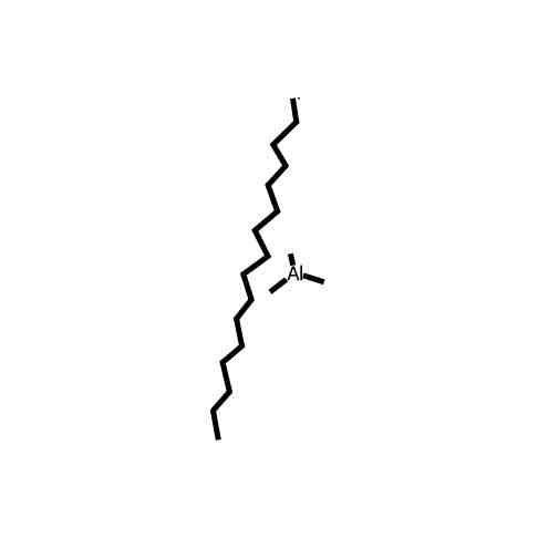 [CH2]CCCCCCCCCCCCCCC.[CH3][Al]([CH3])[CH3]